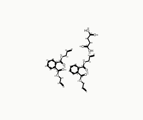 C=CCOC(=O)c1ccccc1C(=O)OCC=C.C=CCOC(=O)c1ccccc1C(=O)OCC=C.O=C(O)CCC(=O)O